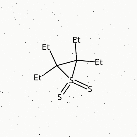 CCC1(CC)C(CC)(CC)S1(=S)=S